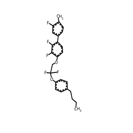 CCCCc1ccc(OC(F)(F)COc2ccc(-c3ccc(C)c(F)c3)c(F)c2F)cc1